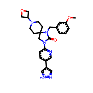 COc1cccc(CN2C(=O)N(c3ccc(-c4cn[nH]c4)cn3)CC23CCN(C2COC2)CC3)c1